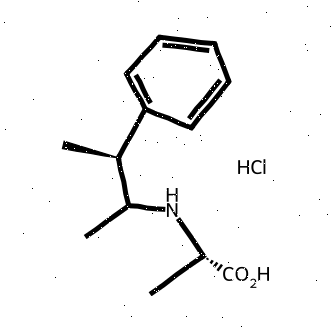 CC(N[C@@H](C)C(=O)O)[C@@H](C)c1ccccc1.Cl